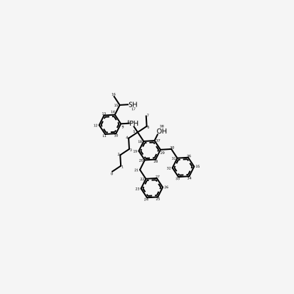 CCCCCC(CC)(Pc1ccccc1C(C)S)c1cc(Cc2ccccc2)cc(Cc2ccccc2)c1O